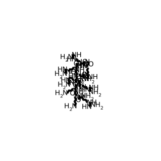 N=C(N)NCCC[C@H](NC(=O)[C@H](CCCNC(=N)N)NC(=O)[C@H](CCCNC(=N)N)NC(=O)[C@H](CCC(N)=O)NC(=O)[C@H](CCCNC(=N)N)NC(=O)[C@H](CCCNC(=N)N)NC(=O)[C@H](CCCCN)NC(=O)[C@H](CCCCN)NC(=O)[C@@H](N)CCCNC(=N)N)C(N)=O